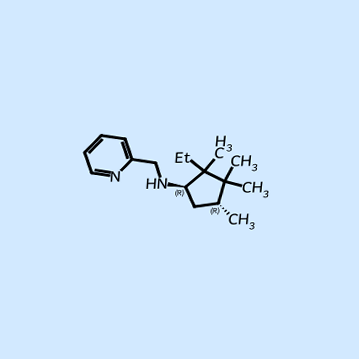 CCC1(C)[C@H](NCc2ccccn2)C[C@@H](C)C1(C)C